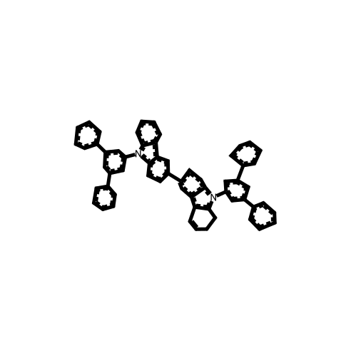 C1=Cc2c(n(-c3cc(-c4ccccc4)cc(-c4ccccc4)c3)c3ccc(-c4ccc5c(c4)c4ccccc4n5-c4cc(-c5ccccc5)cc(-c5ccccc5)c4)cc23)CC1